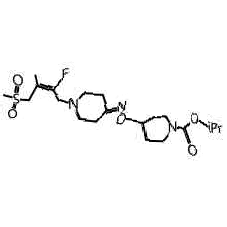 CC(CS(C)(=O)=O)=C(F)CN1CCC(=NOC2CCN(C(=O)OC(C)C)CC2)CC1